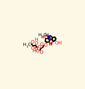 CC(=O)[C@H](O)[C@@H](O)C(=O)O[C@@H](CC(=O)OC1=CC[C@@]2(O)[C@H]3Cc4ccc(O)c5c4[C@@]2(CCN3C)[C@H]1O5)C(=O)O